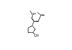 CNCC(CC(C)C)N1CCC(O)C1